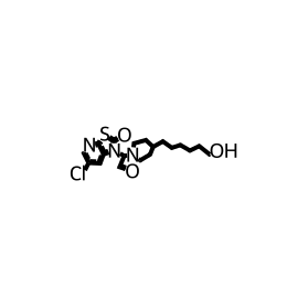 O=CC(N1CCC(CCCCCCO)CC1)n1c(=O)sc2ncc(Cl)cc21